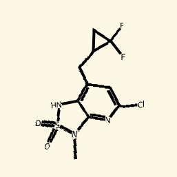 CN1c2nc(Cl)cc(CC3CC3(F)F)c2NS1(=O)=O